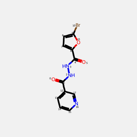 O=C(NNC(=O)c1ccc(Br)o1)c1cccnc1